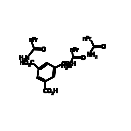 CCCC(N)=O.CCCC(N)=O.CCCC(N)=O.O=C(O)c1cc(C(=O)O)cc(C(=O)O)c1